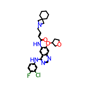 O=C(C=CCN1CC2(CCCCC2)C1)Nc1cc2c(Nc3ccc(F)c(Cl)c3)ncnc2cc1OC1CCOC1